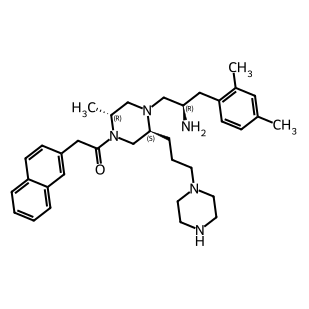 Cc1ccc(C[C@@H](N)CN2C[C@@H](C)N(C(=O)Cc3ccc4ccccc4c3)C[C@@H]2CCCN2CCNCC2)c(C)c1